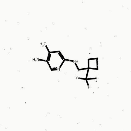 Cc1cc(NCC2(C(F)(F)F)CCC2)ncc1N